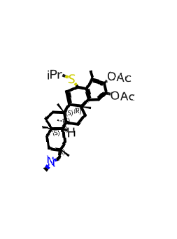 C=NC[C@]1(C)CC[C@]2(C)CC[C@]3(C)C4=CC(SC(C)C)c5c(cc(OC(C)=O)c(OC(C)=O)c5C)[C@]4(C)CC[C@@]3(C)[C@@H]2C1